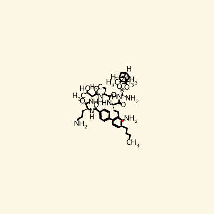 CCCCc1ccc(-c2ccc(C(=O)N[C@@H](CCCN)C(=O)N[C@H](C(=O)N[C@@H](CC)C(=O)N[C@@H](CCCCN)C(=O)N[C@@H](N)B3OC4C[C@@H]5C[C@@H](C5(C)C)[C@]4(C)O3)[C@@H](C)O)cc2)cc1